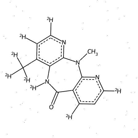 [2H]c1cc([2H])c2c(n1)N(C)c1nc([2H])c([2H])c(C([2H])([2H])[2H])c1N([2H])C2=O